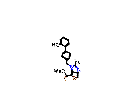 CCc1nc2csc(C(=S)OC)c2n1Cc1ccc(-c2ccccc2C#N)cc1